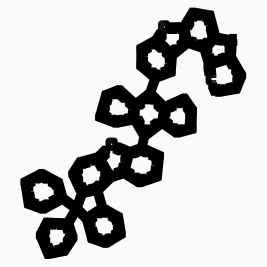 c1ccc(C2(c3ccccc3)c3ccccc3-c3c2ccc2oc4c(-c5c6ccccc6c(-c6ccc7oc8ccc9sc%10ccccc%10c9c8c7c6)c6ccccc56)cccc4c32)cc1